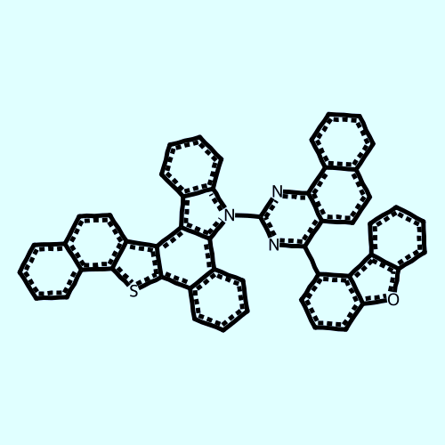 c1ccc2c(c1)ccc1c(-c3cccc4oc5ccccc5c34)nc(-n3c4ccccc4c4c5c6ccc7ccccc7c6sc5c5ccccc5c43)nc12